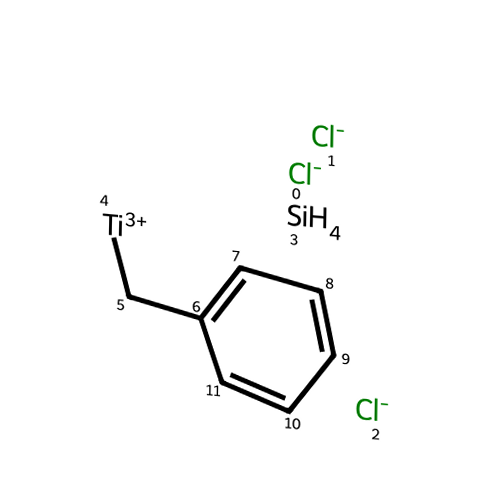 [Cl-].[Cl-].[Cl-].[SiH4].[Ti+3][CH2]c1ccccc1